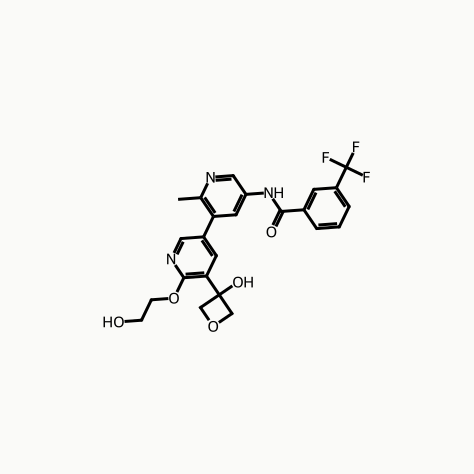 Cc1ncc(NC(=O)c2cccc(C(F)(F)F)c2)cc1-c1cnc(OCCO)c(C2(O)COC2)c1